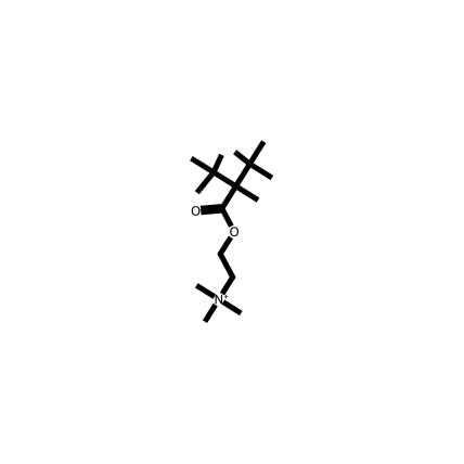 CC(C)(C)C(C)(C(=O)OCC[N+](C)(C)C)C(C)(C)C